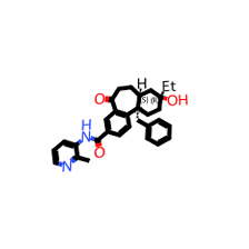 CC[C@@]1(O)CC[C@@]2(Cc3ccccc3)c3ccc(C(=O)Nc4cccnc4C)cc3C(=O)CC[C@H]2C1